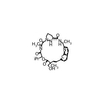 CC(C)C1OC(=O)[C@@](C)(CO)/C=C/c2ccc3ccc(nc3c2)[C@@H](C)NC(=O)[C@@H]2CCCN(N2)C(=O)[C@H](C)NC1=O